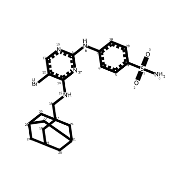 NS(=O)(=O)c1ccc(Nc2ncc(Br)c(NCC34CC5CC(CC(C5)C3)C4)n2)cc1